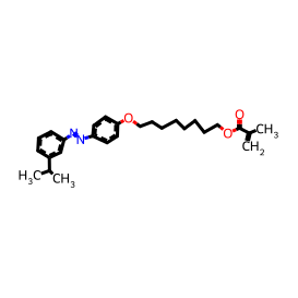 C=C(C)C(=O)OCCCCCCCCOc1ccc(N=Nc2cccc(C(C)C)c2)cc1